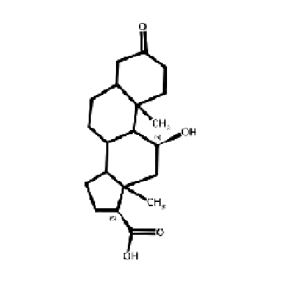 CC12CCC(=O)CC1CCC1C2[C@@H](O)CC2(C)C1CC[C@@H]2C(=O)O